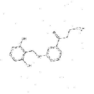 O=C(O)CCC(=O)c1cccc(OCc2c(O)cccc2O)c1